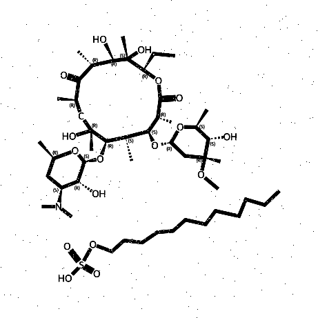 CCCCCCCCCCCCOS(=O)(=O)O.CC[C@H]1OC(=O)[C@H](C)[C@@H](O[C@H]2C[C@@](C)(OC)[C@@H](O)[C@H](C)O2)[C@H](C)[C@@H](O[C@@H]2O[C@H](C)C[C@H](N(C)C)[C@H]2O)[C@](C)(O)C[C@@H](C)C(=O)[C@H](C)[C@@H](O)[C@]1(C)O